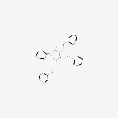 O=P1(c2ccccc2)OC(COCc2ccccc2)C(OCc2ccccc2)C(OCc2ccccc2)C1O